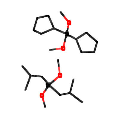 CO[Si](CC(C)C)(CC(C)C)OC.CO[Si](OC)(C1CCCC1)C1CCCC1